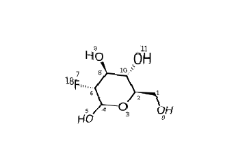 OC[C@H]1OC(O)[C@H]([18F])[C@@H](O)[C@@H]1O